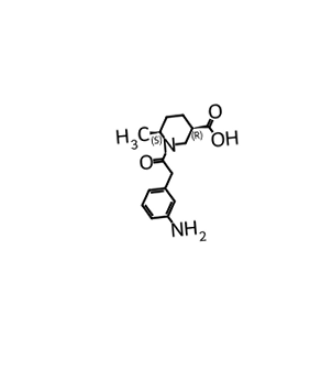 C[C@H]1CC[C@@H](C(=O)O)CN1C(=O)Cc1cccc(N)c1